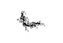 CC(F)(F)CCCS(=O)(=O)C(C)(C)C(=O)OCC(C)(C)c1cc(NC(=O)C(C)(C)S(=O)(=O)CCCC(F)(F)F)on1